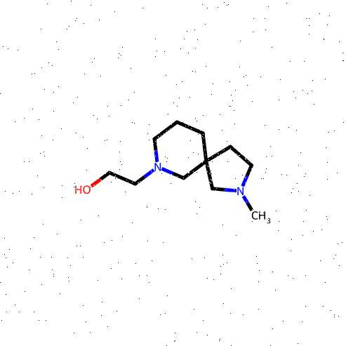 CN1CCC2(CCCN(CCO)C2)C1